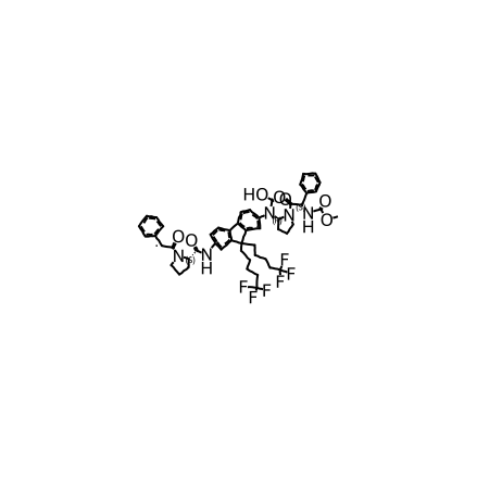 COC(=O)N[C@H](C(=O)N1CCC[C@H]1N(C(=O)O)c1ccc2c(c1)C(CCCCC(F)(F)F)(CCCCC(F)(F)F)c1cc(NC(=O)[C@@H]3CCCN3C(=O)[CH]c3ccccc3)ccc1-2)c1ccccc1